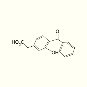 O=C(O)Cc1ccc(C(=O)c2ccccc2)c(O)c1